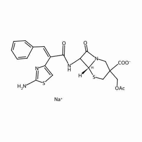 CC(=O)OCC1(C(=O)[O-])CS[C@@H]2C(NC(=O)C(=Cc3ccccc3)c3csc(N)n3)C(=O)N2C1.[Na+]